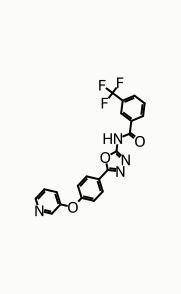 O=C(Nc1nnc(-c2ccc(Oc3cccnc3)cc2)o1)c1cccc(C(F)(F)F)c1